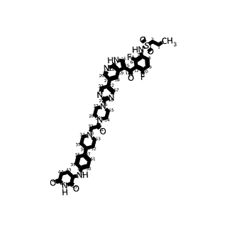 CCCS(=O)(=O)Nc1ccc(F)c(C(=O)c2c[nH]c3ncc(-c4cnc(N5CCN(C(=O)CN6CCC(c7ccc(NC8CCC(=O)NC8=O)cc7)CC6)CC5)nc4)cc23)c1F